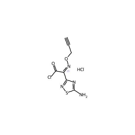 C#CCO/N=C(\C(=O)Cl)c1nsc(N)n1.Cl